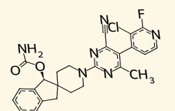 Cc1nc(N2CCC3(CC2)Cc2ccccc2[C@H]3OC(N)=O)nc(C#N)c1-c1ccnc(F)c1Cl